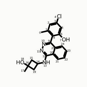 Cc1cc(Cl)cc(O)c1-c1nnc(NC2CC(C)(O)C2)c2ccccc12